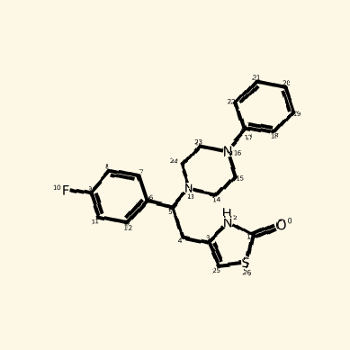 O=c1[nH]c(CC(c2ccc(F)cc2)N2CCN(c3ccccc3)CC2)cs1